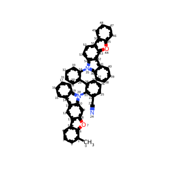 Cc1cccc2c1oc1cc3c(cc12)c1ccccc1n3-c1c(C#N)cccc1-c1ccccc1-n1c2ccccc2c2c3oc4ccccc4c3ccc21